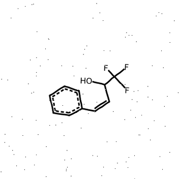 OC(/C=C\c1ccccc1)C(F)(F)F